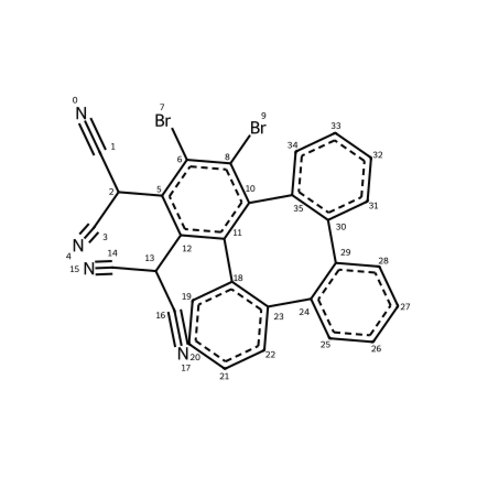 N#CC(C#N)c1c(Br)c(Br)c2c(c1C(C#N)C#N)-c1ccccc1-c1ccccc1-c1ccccc1-2